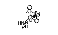 Cn1c(C(CCCNC(=N)CF)NC(=O)c2ccccc2C(=O)OC(C)(C)C)nc2ccccc21